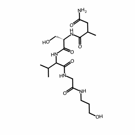 CC(CC(N)=O)C(=O)N[C@@H](CO)C(=O)NC(C(=O)NCC(=O)NCCCO)C(C)C